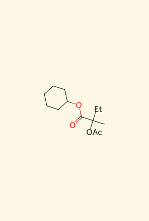 [CH2]C(=O)OC(C)(CC)C(=O)OC1CCCCC1